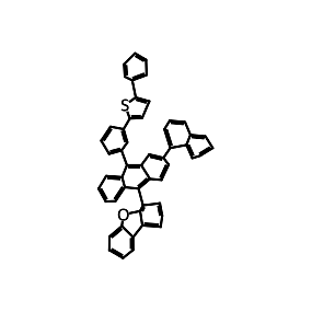 c1ccc(-c2ccc(-c3cccc(-c4c5ccccc5c(-c5cccc6c5oc5ccccc56)c5ccc(-c6cccc7ccccc67)cc45)c3)s2)cc1